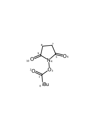 C[CH]C(C)C(=O)ON1C(=O)CCC1=O